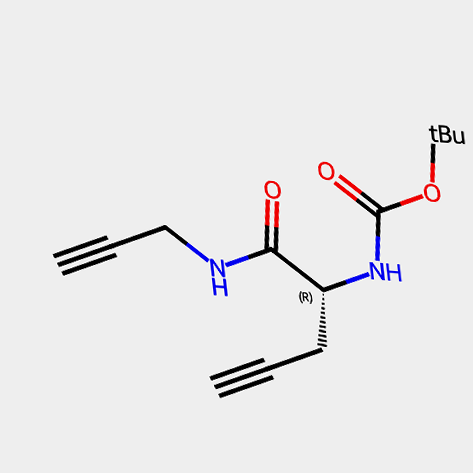 C#CCNC(=O)[C@@H](CC#C)NC(=O)OC(C)(C)C